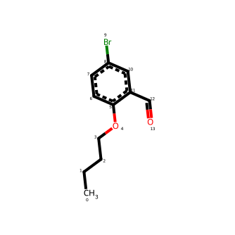 CCCCOc1ccc(Br)cc1C=O